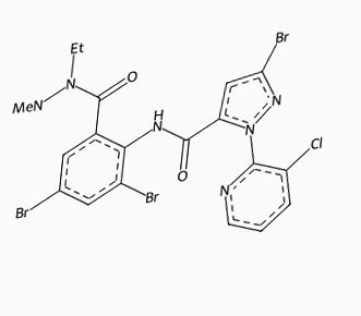 CCN(NC)C(=O)c1cc(Br)cc(Br)c1NC(=O)c1cc(Br)nn1-c1ncccc1Cl